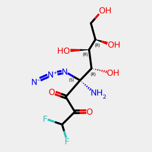 [N-]=[N+]=N[C@](N)(C(=O)C(=O)C(F)F)[C@@H](O)[C@@H](O)[C@H](O)CO